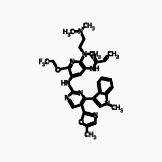 C=CC(=O)Nc1cc(Nc2ncc(-c3ncc(C)o3)c(-c3cn(C)c4ccccc34)n2)c(OCC(F)(F)F)nc1N(C)CCN(C)C